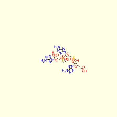 COC1C(COP(O)(=S)OC2CC(CCC(=O)O)OC2n2cnc3c(N)ncnc32)OC(n2cnc3c(N)ncnc32)C1OP(O)(=S)OCC1OC(n2cnc3c(N)ncnc32)C(O)C1O